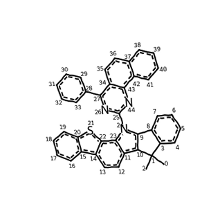 CC1(C)c2ccccc2-c2c1c1ccc3c4ccccc4sc3c1n2-c1nc(-c2ccccc2)c2ccc3ccccc3c2n1